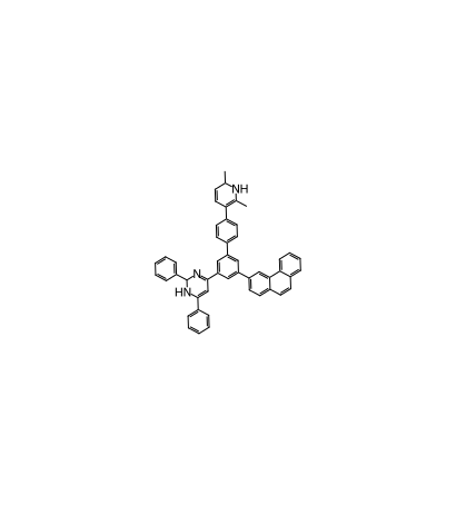 CC1=C(c2ccc(-c3cc(C4=NC(c5ccccc5)NC(c5ccccc5)=C4)cc(-c4ccc5ccc6ccccc6c5c4)c3)cc2)C=CC(C)N1